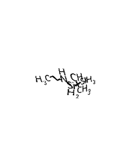 CCCN[SiH2]C(C)(C)[SiH3]